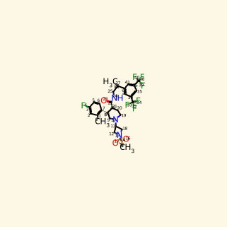 Cc1cc(F)ccc1[C@H]1CN(C2CN(S(C)(=O)=O)C2)CC[C@@H]1C(=O)NC[C@H](C)c1cc(C(F)(F)F)cc(C(F)(F)F)c1